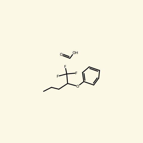 CCCC(Oc1ccccc1)C(F)(F)F.O=CO